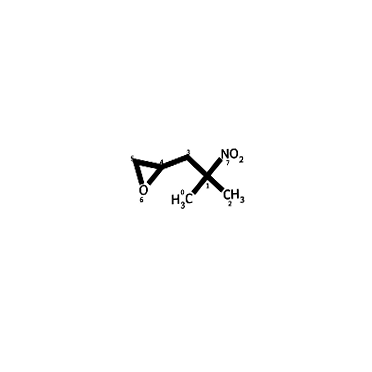 CC(C)(CC1CO1)[N+](=O)[O-]